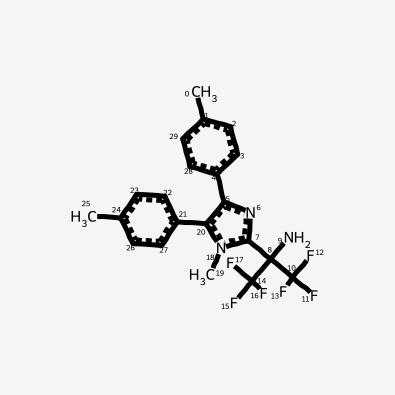 Cc1ccc(-c2nc(C(N)(C(F)(F)F)C(F)(F)F)n(C)c2-c2ccc(C)cc2)cc1